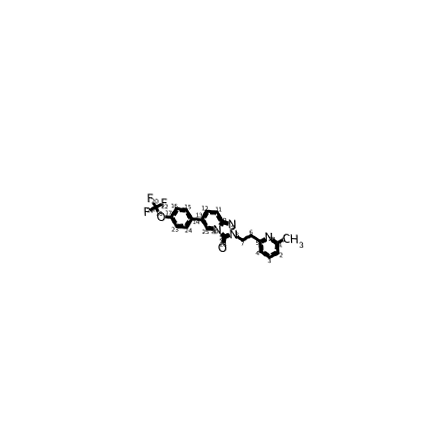 Cc1cccc(CCn2nc3ccc(-c4ccc(OC(F)(F)F)cc4)cn3c2=O)n1